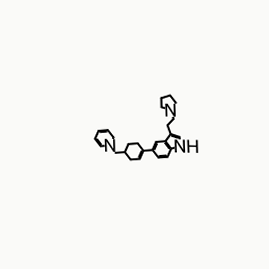 C1=CCN(CC2CC=C(c3ccc4[nH]cc(CCN5CCCC5)c4c3)CC2)C=C1